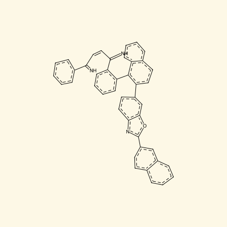 N=C(/C=C\C(=N)c1ccccc1-c1c(-c2ccc3nc(-c4ccc5ccccc5c4)oc3c2)ccc2ccccc12)c1ccccc1